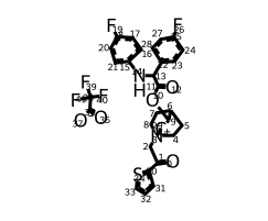 O=C(C[N+]12CCC(CC1)C(OC(=O)C(Nc1ccc(F)cc1)c1ccc(F)cc1)C2)c1cccs1.O=C([O-])C(F)(F)F